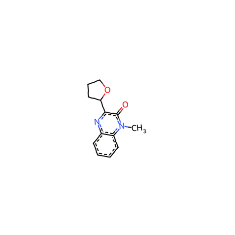 Cn1c(=O)c(C2CCCO2)nc2ccccc21